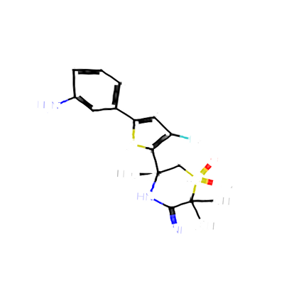 CC1(C)C(=N)N[C@](C)(c2sc(-c3cccc(N)c3)cc2F)CS1(=O)=O